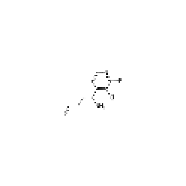 C=CCCC(N)c1ccnc(F)c1Cl